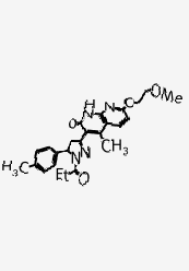 CCC(=O)N1N=C(c2c(C)c3ccc(OCCOC)nc3[nH]c2=O)CC1c1ccc(C)cc1